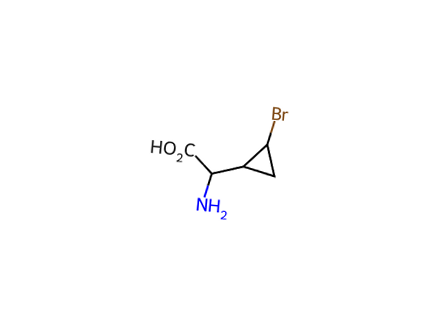 NC(C(=O)O)C1CC1Br